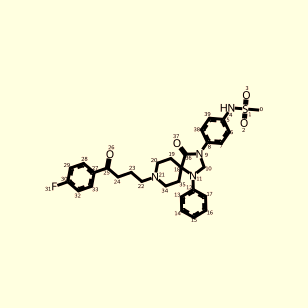 CS(=O)(=O)Nc1ccc(N2CN(c3ccccc3)C3(CCN(CCCC(=O)c4ccc(F)cc4)CC3)C2=O)cc1